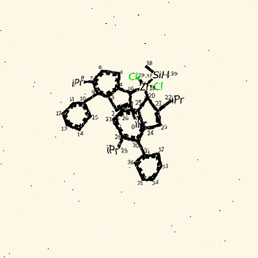 CC(C)C1=Cc2c(ccc(C(C)C)c2-c2ccccc2)[CH]1[Zr]([Cl])([Cl])([CH]1C(C(C)C)=Cc2c1ccc(C(C)C)c2-c1ccccc1)[SiH](C)C